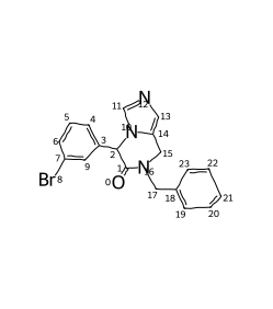 O=C1C(c2cccc(Br)c2)n2cncc2CN1Cc1ccccc1